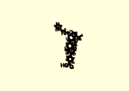 C=C(C)[C@@H]1CC[C@]2(CNCCn3ccnc3)CC[C@]3(C)[C@H](CC[C@@H]4[C@@]5(C)CC=C(c6ccc(C(=O)O)cc6)C(C)(C)[C@@H]5CC[C@]43C)[C@@H]12